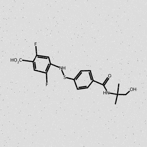 CC(C)(CO)NC(=O)c1ccc(SNc2cc(F)c(C(=O)O)cc2F)cc1